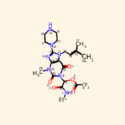 CCNC(=O)C(OC(=O)C(F)(F)F)n1c(=O)c2c(nc(N3CCNCC3)n2CC=C(C)C)n(C)c1=O